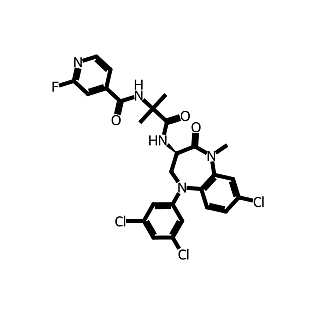 CN1C(=O)[C@H](NC(=O)C(C)(C)NC(=O)c2ccnc(F)c2)CN(c2cc(Cl)cc(Cl)c2)c2ccc(Cl)cc21